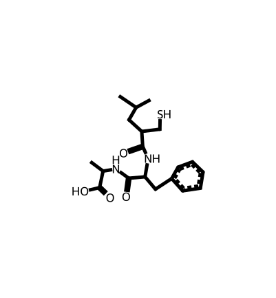 CC(C)CC(CS)C(=O)NC(Cc1ccccc1)C(=O)NC(C)C(=O)O